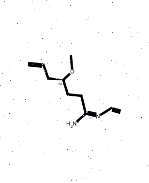 C=CC[C@H](CC/C(N)=N\C=C)OC